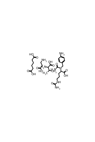 CC(C)C(N)C(=O)O.NC(=O)NCCCC(C(=O)O)N(Cc1ccc(N)cc1)C(N)=O.NCCC(=O)O.O=C(O)CCCCC(=O)O